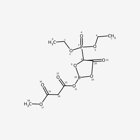 CCOP(=O)(OCC)C1OB(OC(=O)CC(=O)OC)OC1=O